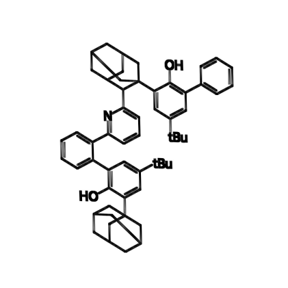 CC(C)(C)c1cc(-c2ccccc2-c2cccc(C3C4CC5CC(C4)CC3(c3cc(C(C)(C)C)cc(-c4ccccc4)c3O)C5)n2)c(O)c(C23CC4CC(CC(C4)C2)C3)c1